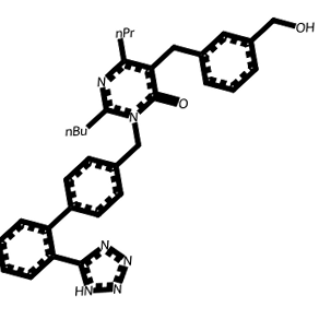 CCCCc1nc(CCC)c(Cc2cccc(CO)c2)c(=O)n1Cc1ccc(-c2ccccc2-c2nnn[nH]2)cc1